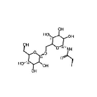 O=C(CI)N[C@@H]1OC(CO[C@@H]2OC(CO)[C@@H](O)C(O)C2O)[C@@H](O)C(O)C1O